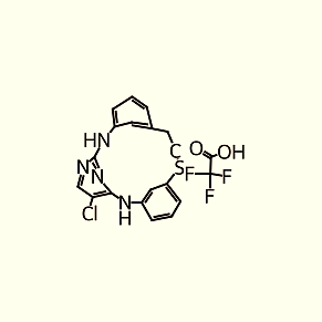 Clc1cnc2nc1Nc1cccc(c1)SCCc1cccc(c1)N2.O=C(O)C(F)(F)F